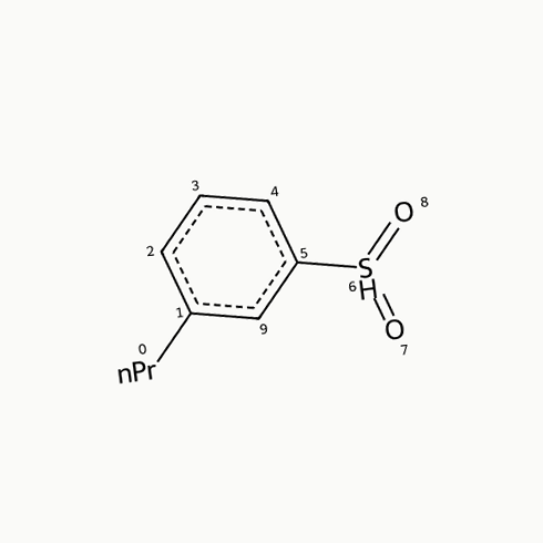 CCCc1cccc([SH](=O)=O)c1